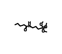 CCCCC(=O)NCCC[Si](OC)(OC)OC